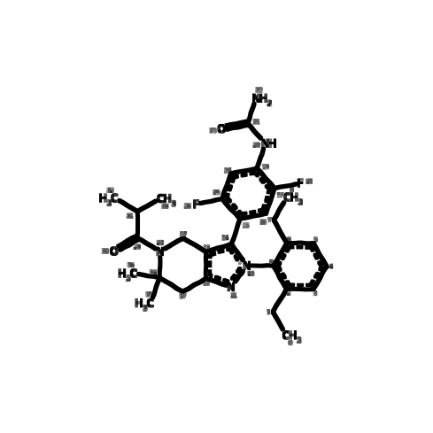 CCc1cccc(CC)c1-n1nc2c(c1-c1cc(F)c(NC(N)=O)cc1F)CN(C(=O)C(C)C)C(C)(C)C2